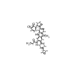 C=CC(=O)Nc1cc(Nc2cc(N3OCCC3c3cccc(Cl)c3Cl)ncn2)c(OC)cc1N1CCN(C2COC2)CC1